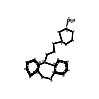 O=C(O)[C@@H]1CCCN(CCCN2c3ccccc3COc3ccccc32)C1